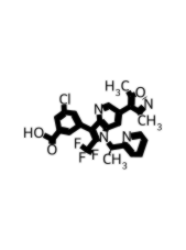 Cc1noc(C)c1-c1cnc2c(-c3cc(Cl)cc(C(=O)O)c3)c(C(F)(F)F)n([C@@H](C)c3ccccn3)c2c1